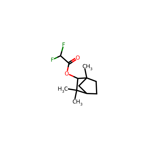 CC12CCC(C1)C(C)(C)C2OC(=O)C(F)F